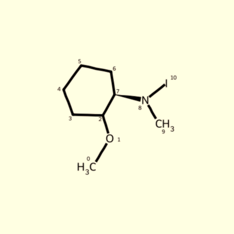 COC1CCCC[C@H]1N(C)I